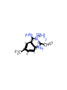 N=C1c2cc(C(F)(F)F)ccc2NC(C=O)N1N